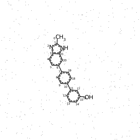 Cc1nc2ccc(-c3ccc(-c4cccc(O)c4)cc3)cc2[nH]1